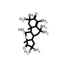 BC1=C2C(B)(B)CC3C4CC(B)(B)C(=O)C4(C)C[C@H](O)C3C2(C)CC(B)(B)C1=O